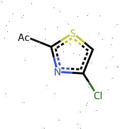 CC(=O)c1nc(Cl)cs1